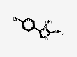 C[CH]Cn1c(-c2ccc(Br)cc2)cnc1N